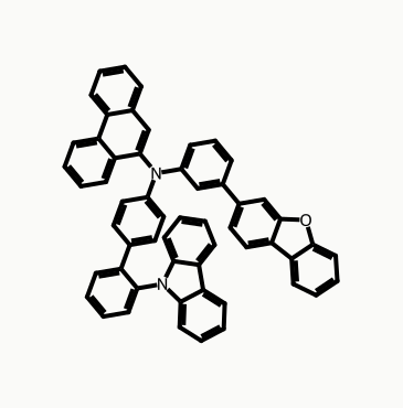 c1cc(-c2ccc3c(c2)oc2ccccc23)cc(N(c2ccc(-c3ccccc3-n3c4ccccc4c4ccccc43)cc2)c2cc3ccccc3c3ccccc23)c1